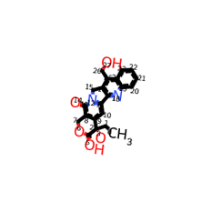 CC[C@@]1(O)C(=O)OCc2c1cc1n(c2=O)Cc2c-1nc1ccccc1c2CO